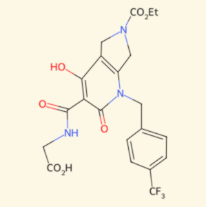 CCOC(=O)N1Cc2c(O)c(C(=O)NCC(=O)O)c(=O)n(Cc3ccc(C(F)(F)F)cc3)c2C1